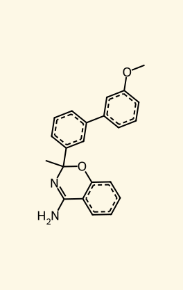 COc1cccc(-c2cccc(C3(C)N=C(N)c4ccccc4O3)c2)c1